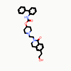 O=C(Nc1ccccc1-c1ccccc1)OC1CCN(CCN2CCc3cc(CCO)ccc3C2=O)CC1